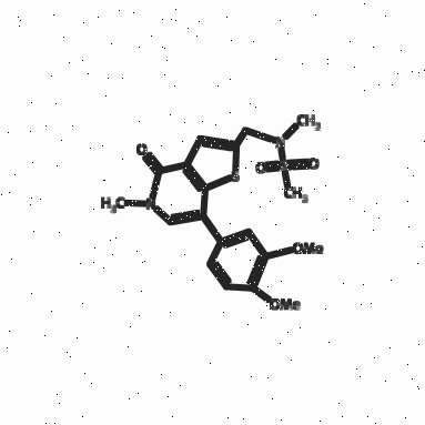 COc1ccc(-c2cn(C)c(=O)c3cc(CN(C)S(C)(=O)=O)sc23)cc1OC